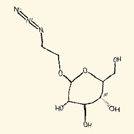 [N-]=[N+]=NCCOC1OC(CO)[C@H](O)C(O)C1O